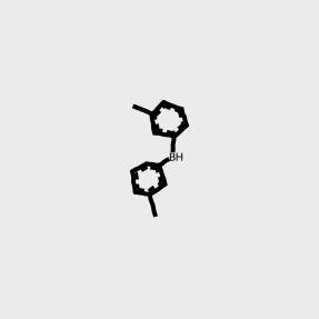 Cc1cccc(Bc2cccc(C)c2)c1